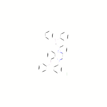 Clc1ccc(P(c2ccccc2)c2ccccc2)c(/N=C/c2cccc(CP(c3ccccc3)c3ccccc3)n2)c1